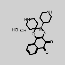 Cl.Cl.O=C1C(=O)c2ccccc2C2=C1S[C@H](C1CCNCC1)C1(CCNCC1)O2